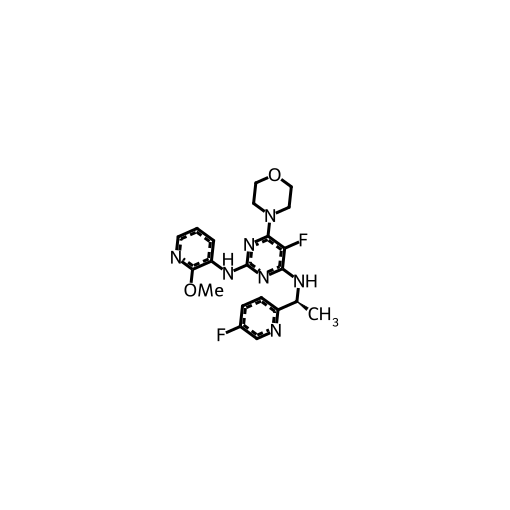 COc1ncccc1Nc1nc(N[C@@H](C)c2ccc(F)cn2)c(F)c(N2CCOCC2)n1